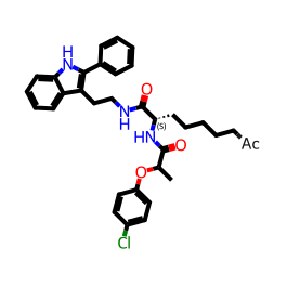 CC(=O)CCCCC[C@H](NC(=O)C(C)Oc1ccc(Cl)cc1)C(=O)NCCc1c(-c2ccccc2)[nH]c2ccccc12